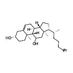 CC(C)CCC[C@@H](C)[C@H]1CC[C@H]2[C@@H]3CC=C4C[C@@H](O)CC[C@]4(C)[C@H]3C(O)C[C@]12C